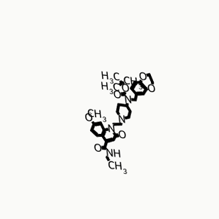 CCNC(=O)c1cc(=O)n(CCN2CCC(N(Cc3ccc4c(c3)OCCO4)C(=O)OC(C)(C)C)CC2)c2cc(OC)ccc12